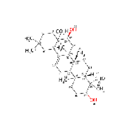 CC1(C)CCC2(C(=O)O)C(C1)C1=CCC3C4(C)CCC(O)C(C)(C=O)[C@H]4CC[C@@]3(C)[C@]1(C)C[C@@H]2O